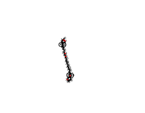 Cc1ccc(S(=O)(=O)CCCCCCCCCCCCCCCCCCCCS(=O)(=O)c2ccc(C)cc2)cc1